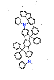 CN(c1ccccc1)c1ccc2c(c1)C(c1ccccc1)(c1ccccc1)c1cc3c(cc1-2)C(c1ccccc1)(c1ccccc1)c1cc(N(c2ccccc2)c2cccc4c2-c2ccccc2C4)ccc1-3